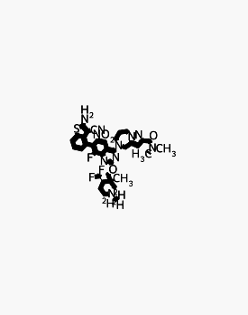 [2H]C([2H])([2H])N1CC[C@H](C(F)F)[C@](C)(COc2nc(N3CCCn4nc(C(=O)N(C)C)cc4C3)c3cc([N+](=O)[O-])c(-c4cccc5sc(N)c(C#N)c45)c(F)c3n2)C1